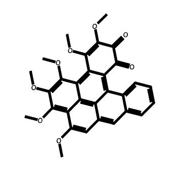 COc1c(OC)c2c(OC)cc3cc4ccccc4c4c5c(=O)c(=O)c(OC)c(OC)c5c(c1OC)c2c34